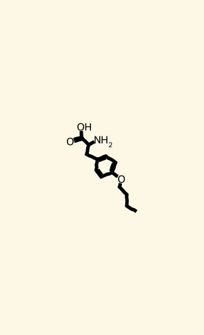 CCCCOc1ccc(CC(N)C(=O)O)cc1